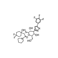 O=C([C@@H](S[C@@H]1O[C@H](CO)[C@H](O)[C@H](n2cc(-c3cc(F)c(F)c(F)c3)nn2)[C@H]1O)C1(O)CCC(F)(F)CC1)N1CCCCC1